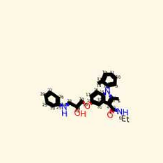 CCNC(=O)c1c(C)n(-c2ccccc2C)c2ccc(OC[C@@H](O)CNc3ccccc3)cc12